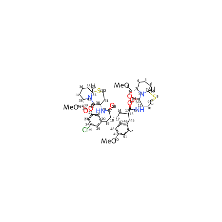 COC(=O)[C@@H]1CCC[C@@H]2SCC[C@H](NC(=O)[C@H](CC[C@H](Cc3cccc(Cl)c3)C(=O)N[C@H]3CCS[C@H]4CCC[C@@H](C(=O)OC)N4C3=O)Cc3ccc(OC)cc3)C(=O)N21